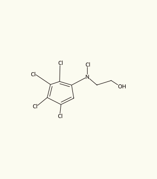 OCCN(Cl)c1cc(Cl)c(Cl)c(Cl)c1Cl